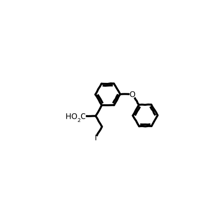 O=C(O)C(CI)c1cccc(Oc2ccccc2)c1